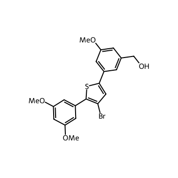 COc1cc(CO)cc(-c2cc(Br)c(-c3cc(OC)cc(OC)c3)s2)c1